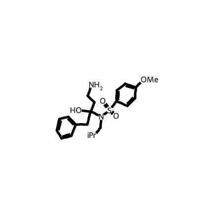 COc1ccc(S(=O)(=O)N(CC(C)C)C(O)(CCN)Cc2ccccc2)cc1